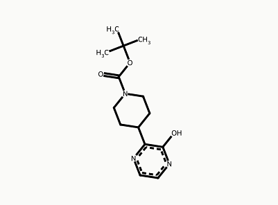 CC(C)(C)OC(=O)N1CCC(c2nccnc2O)CC1